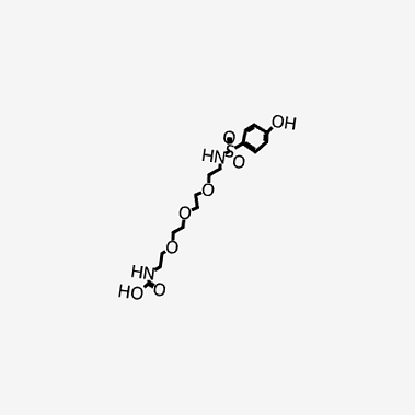 O=C(O)NCCOCCOCCOCCNS(=O)(=O)c1ccc(O)cc1